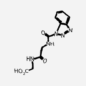 O=C(O)CNC(=O)CNC(=O)n1nnc2ccccc21